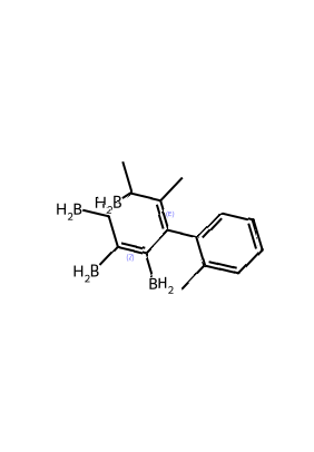 BC/C(B)=C(B)\C(=C(\C)C(B)C)c1ccccc1C